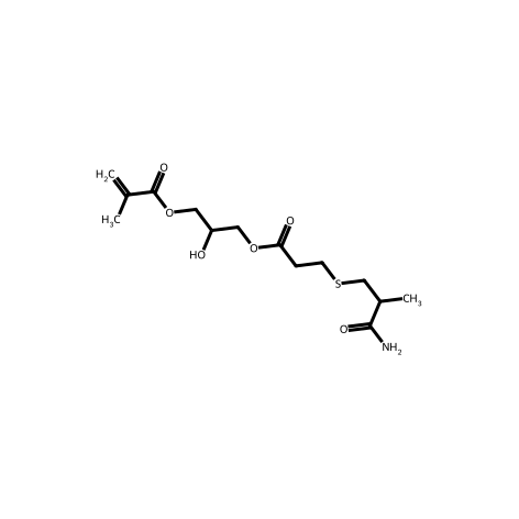 C=C(C)C(=O)OCC(O)COC(=O)CCSCC(C)C(N)=O